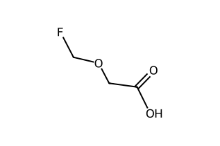 O=C(O)COCF